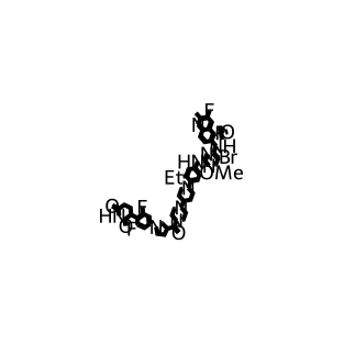 CCc1cc(Nc2ncc(Br)c(Nc3ccc4nc(C)c(F)cc4c3P(C)(C)=O)n2)c(OC)cc1N1CCC(N2CCN(C(=O)C3CCN(c4cc(F)c(C5CCC(=O)NC5=O)c(F)c4)C3)CC2)CC1